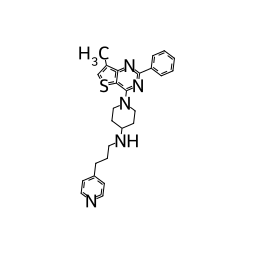 Cc1csc2c(N3CCC(NCCCc4ccncc4)CC3)nc(-c3ccccc3)nc12